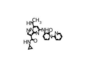 CNc1cc(Nc2cccn(-c3ccccn3)c2=O)nc2c(C(=O)NC3CC3)cnn12